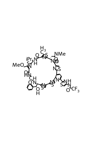 CNC(=O)C[C@@H]1NC(=O)c2csc(n2)-c2ccc(-c3nc(NC(=O)C(F)(F)F)cs3)nc2-c2csc(n2)-c2csc(n2)[C@H]([C@@H](O)c2ccccc2)NC(=O)CNC(=O)c2nc(sc2COC)C(C(C)C)NC(=O)c2nc1sc2C